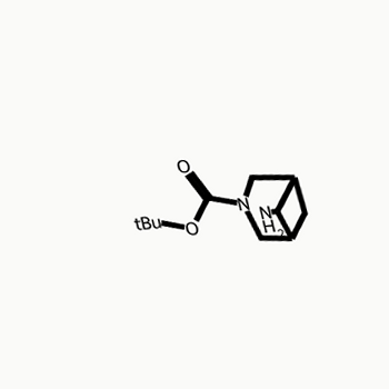 CC(C)(C)OC(=O)N1CC2CC(C1)C2N